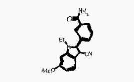 CCN1c2cc(OC)ccc2C(C#N)C1c1cccc(C(N)=O)c1